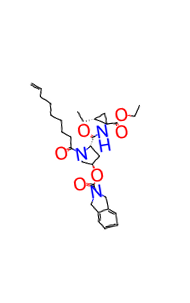 C=CCCCCCCC(=O)N1C[C@H](OC(=O)N2Cc3ccccc3C2)C[C@H]1C(=O)N[C@]1(C(=O)OCC)C[C@H]1CC